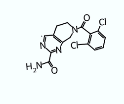 NC(=O)c1n[c]c2c(n1)CN(C(=O)c1c(Cl)cccc1Cl)CC2